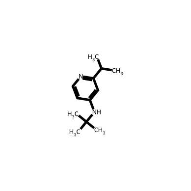 CC(C)c1cc(NC(C)(C)C)ccn1